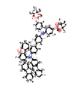 CC1(C)OB(c2ccc3c(c2)c2cc(B4OC(C)(C)C(C)(C)O4)ccc2n3-c2ccc(-c3ccc(N(c4ccc5c(c4)C4(c6ccccc6-c6ccccc64)c4ccccc4-5)c4cccc5oc6ccccc6c45)cc3)cc2)OC1(C)C